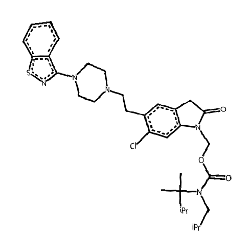 CC(C)CN(C(=O)OCN1C(=O)Cc2cc(CCN3CCN(c4nsc5ccccc45)CC3)c(Cl)cc21)C(C)(C)C(C)C